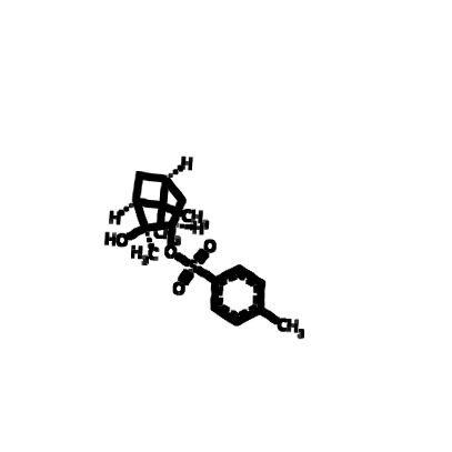 Cc1ccc(S(=O)(=O)O[C@@H]2C[C@@H]3C[C@@H](C3(C)C)[C@]2(C)O)cc1